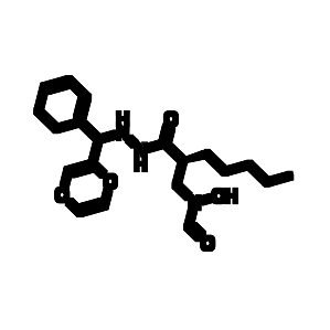 CCCCC[C@@H](CN(O)C=O)C(=O)NNC(C1=CC=CCC1)C1=COC=CO1